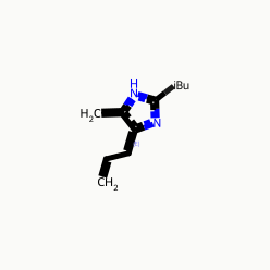 C=C/C=c1/nc(C(C)CC)[nH]c1=C